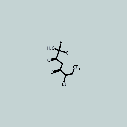 CCC(CC(F)(F)F)C(=O)CC(=O)C(C)(C)F